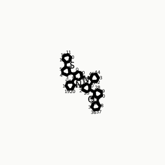 C1=C(c2cccc3c2sc2ccccc23)C2c3ccccc3N3c4ccc(-c5cccc6c5oc5ccccc56)c5c6ccccc6n(c45)C(=C1)C23